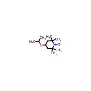 CC(C)OC1CC(C)(C)N([O])C(C)(C)C1